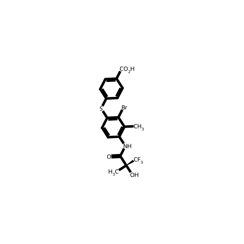 Cc1c(NC(=O)[C@@](C)(O)C(F)(F)F)ccc(Sc2ccc(C(=O)O)cc2)c1Br